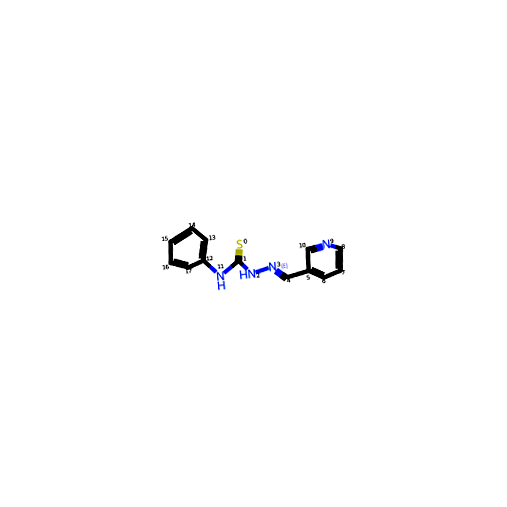 S=C(N/N=C/c1cccnc1)Nc1ccccc1